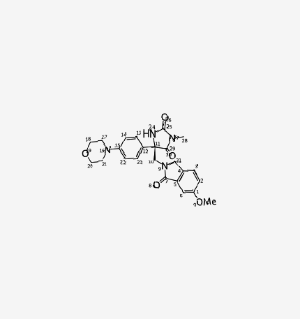 COc1ccc2c(c1)C(=O)N(C[C@@]1(c3ccc(N4CCOCC4)cc3)NC(=O)N(C)C1=O)C2